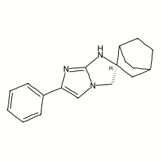 c1ccc(-c2cn3c(n2)N[C@@]2(CC4CCC2CC4)C3)cc1